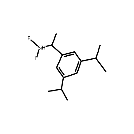 CC(C)c1cc(C(C)C)cc(C(C)[SiH](F)F)c1